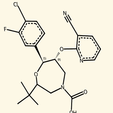 CC(C)(C)C1CN(C(=O)O)C[C@@H](Oc2ncccc2C#N)[C@H](c2ccc(Cl)c(F)c2)O1